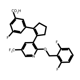 O=C(O)c1cc(F)cc(C2=C(c3cc(C(F)(F)F)cnc3OCc3c(F)cccc3F)CCC2)c1